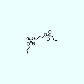 CCCOS(=O)(=O)OCCCOS(=O)(=O)CCC